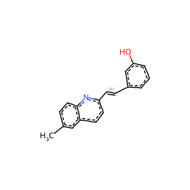 Cc1ccc2nc(/C=C/c3cccc(O)c3)ccc2c1